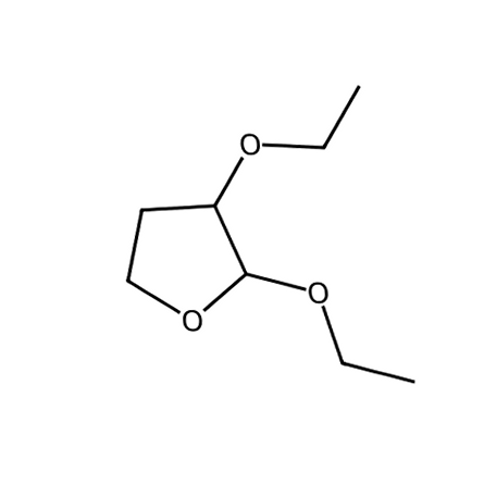 CCOC1CCOC1OCC